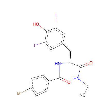 N#CCNC(=O)[C@H](Cc1cc(I)c(O)c(I)c1)NC(=O)c1ccc(Br)cc1